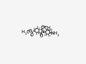 COC(=O)c1ccc2c(c1)C(=O)N(c1ccc(N)cc1C)C2=O